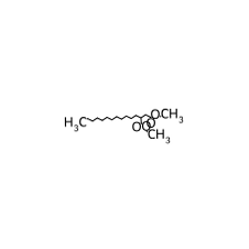 CCCCCCCCCCCCC(CC(=O)OCC)C(=O)OCC